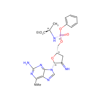 CCOC(=O)[C@@H](C)N[P@](=O)(OC[C@@H]1CC(=N)[C@H](n2cnc3c(NC)nc(N)nc32)O1)Oc1ccccc1